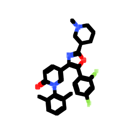 Cc1cccc(C)c1-n1cc(-c2nc([C@@H]3CCCN(C)C3)oc2-c2ccc(F)cc2F)ccc1=O